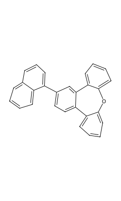 c1ccc2c(c1)Oc1ccccc1-c1cc(-c3cccc4ccccc34)ccc1-2